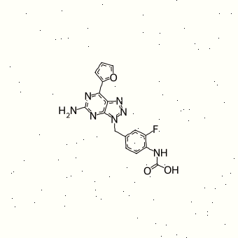 Nc1nc(-c2ccco2)c2nnn(Cc3ccc(NC(=O)O)c(F)c3)c2n1